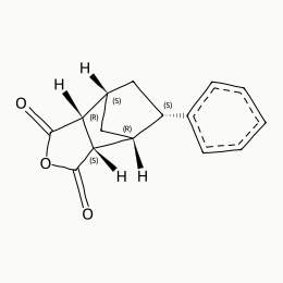 O=C1OC(=O)[C@H]2[C@@H]3C[C@@H](C[C@@H]3c3ccccc3)[C@@H]12